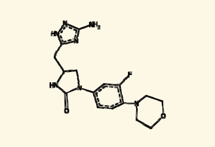 Nc1n[nH]c(CC2CN(c3ccc(N4CCOCC4)c(F)c3)C(=O)N2)n1